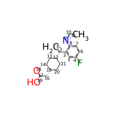 C=C(c1cc(F)ccc1/N=C\C)[C@H]1CC[C@@H](CC(=O)O)CC1